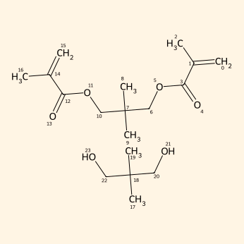 C=C(C)C(=O)OCC(C)(C)COC(=O)C(=C)C.CC(C)(CO)CO